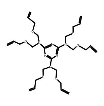 C=CCOCN(COCC=C)c1nc(N(COCC=C)COCC=C)nc(N(COCC=C)COCC=C)n1